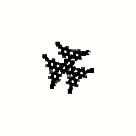 [C-]#[N+]c1ccc(N(C2=NC3=NC(N(c4ccc(C#N)cc4)c4ccc([N+]#[C-])cc4)=NC4=NC(N(c5ccc(C#N)cc5)c5ccc(C#N)cc5)=NC(=N2)N43)c2ccc(C#N)cc2)cc1